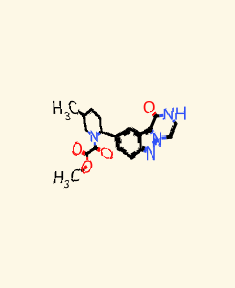 COC(=O)C(=O)N1CC(C)CCC1c1ccc2nn3c(c2c1)C(=O)NCC3